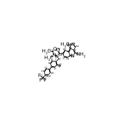 CC(=O)N(C)N(Cc1ccc(-c2ccc(C(F)(F)F)cc2)cc1F)C(=O)c1ccc2nc(N)c3cnn(C)c3c2c1